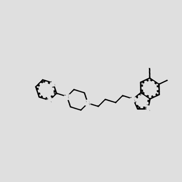 Cc1cc2ncn(CCCCN3CCN(c4ncccn4)CC3)c2cc1C